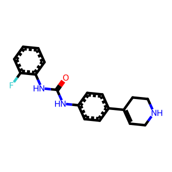 O=C(Nc1ccc(C2=CCNCC2)cc1)Nc1ccccc1F